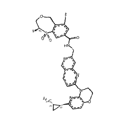 C[C@H]1C[C@@H]1c1ccc2c(n1)N(c1ccc3cnc(CNC(=O)c4cc(F)c5c(c4)S(=O)(=O)[C@@H](F)COC5)cc3n1)CCO2